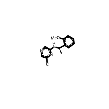 COc1ccccc1[C@@H](C)Nc1cncc(Cl)n1